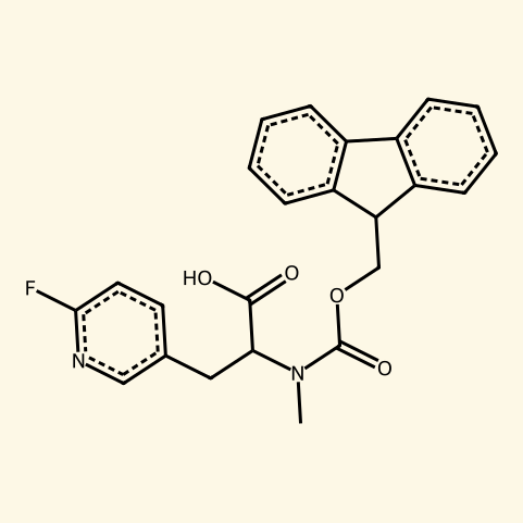 CN(C(=O)OCC1c2ccccc2-c2ccccc21)C(Cc1ccc(F)nc1)C(=O)O